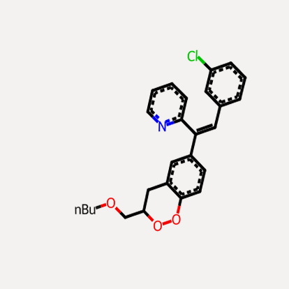 CCCCOCC1Cc2cc(C(=Cc3cccc(Cl)c3)c3ccccn3)ccc2OO1